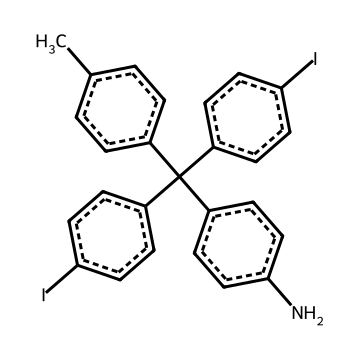 Cc1ccc(C(c2ccc(N)cc2)(c2ccc(I)cc2)c2ccc(I)cc2)cc1